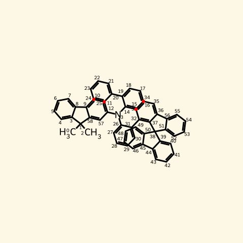 CC1(C)c2ccccc2-c2ccc(N(c3ccccc3-c3ccccc3)c3ccccc3-c3cccc4c3C3(c5ccccc5-c5ccccc53)c3ccccc3-4)cc21